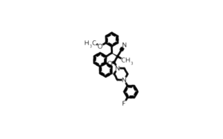 COc1ccccc1[C@H](c1cccc2ccccc12)C(C)(C#N)C(=O)N1CCN(c2cccc(F)c2)CC1